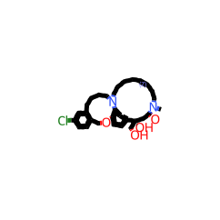 CN1CC/C=C\CCCCN2CCCCc3cc(Cl)ccc3COc3ccc(cc32)[C@@](O)(CO)CC1=O